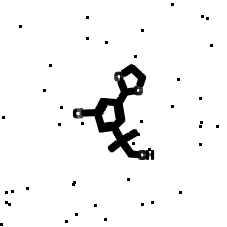 CC(C)(CO)c1cc(Cl)cc(C2OCCO2)c1